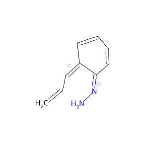 C=C/C=C1/C=CC=C/C1=N/N